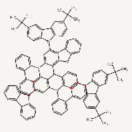 CC(C)(C)c1ccc2c(c1)c1cc(C(C)(C)C)ccc1n2-c1ccc2c(c1)N(c1ccccc1-c1ccccc1)c1cc(-n3c4ccccc4c4ccccc43)cc3c1B2c1c(cc(-n2c4ccc(C(C)(C)C)cc4c4cc(C(C)(C)C)ccc42)c2c1oc1ccccc12)N3c1ccccc1-c1ccccc1